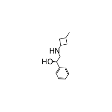 CC1CC(NC[C@H](O)c2ccccc2)C1